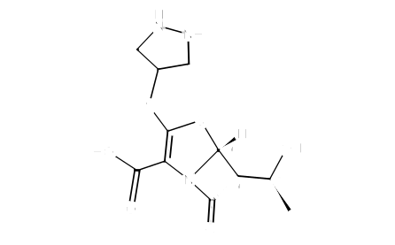 C[C@H](O)[C@@H]1C(=O)N2C(C(=O)O)=C(SC3CNNC3)S[C@H]12